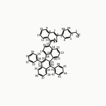 FCc1ccc(-c2cc3ccccc3c(-c3ccc4c5c(cccc35)-c3c-4c(-c4ccccc4)c4ccccc4c3-c3ccccc3)n2)cc1